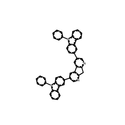 c1ccc(-n2c3ccccc3c3cc(-c4cnc5c(c4)-c4cc(-c6ccc7c(c6)c6ccccc6n7-c6ccccc6)cnc4C5)ccc32)cc1